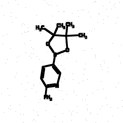 CC1(C)OB(c2ccc(P)nc2)OC1(C)C